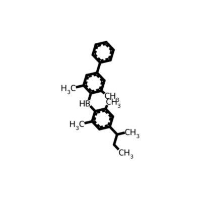 CCC(C)c1cc(C)c(Bc2c(C)cc(-c3ccccc3)cc2C)c(C)c1